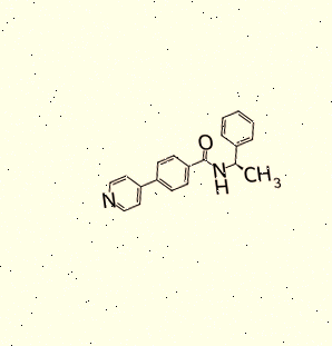 C[C@@H](NC(=O)c1ccc(-c2ccncc2)cc1)c1ccccc1